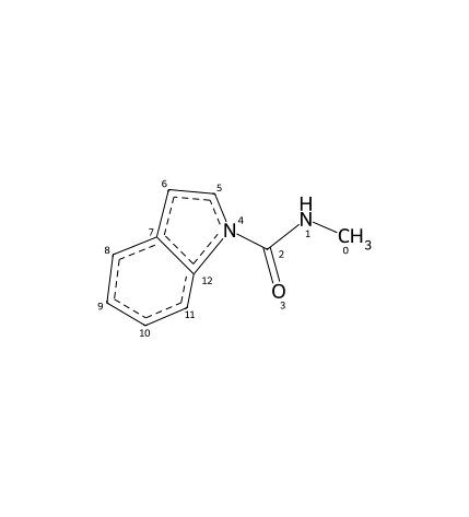 CNC(=O)n1ccc2ccccc21